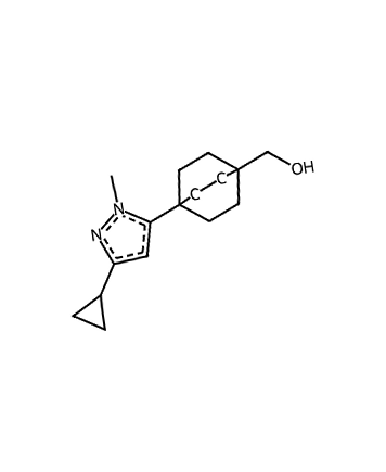 Cn1nc(C2CC2)cc1C12CCC(CO)(CC1)CC2